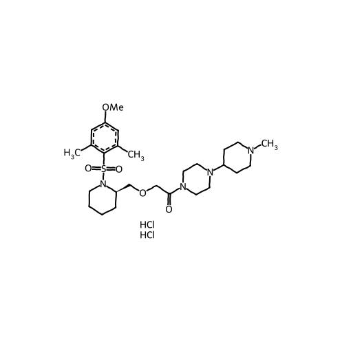 COc1cc(C)c(S(=O)(=O)N2CCCC[C@@H]2COCC(=O)N2CCN(C3CCN(C)CC3)CC2)c(C)c1.Cl.Cl